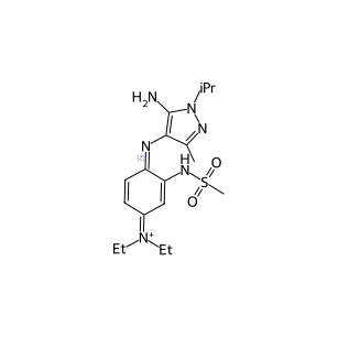 CC[N+](CC)=C1C=C/C(=N/c2c(C)nn(C(C)C)c2N)C(NS(C)(=O)=O)=C1